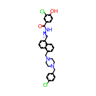 O=C(N/N=C/c1cccc2c(CN3CCN(Cc4ccc(Cl)cc4)CC3)cccc12)c1ccc(O)c(Cl)c1